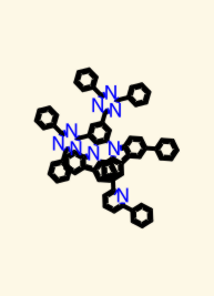 c1ccc(-c2ccc3c(c2)c2cc(-c4cccc(-c5ccccc5)n4)ccc2n3-c2cc(-c3nc(-c4ccccc4)nc(-c4ccccc4)n3)cc(-c3nc(-c4ccccc4)nc(-c4ccccc4)n3)c2-n2c3ccccc3c3ccccc32)cc1